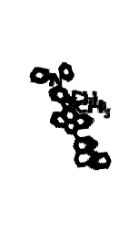 C[Si]1(C)c2cc(N(c3ccccc3)c3ccccc3)ccc2-c2c1c1cccc3c(-c4ccc5c(c4)CCc4ccccc4-5)cc4cccc2c4c31